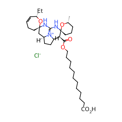 CC[C@H]1C=CCC[C@@]2(C[C@@H]3CC[C@@H]4[C@H](C(=O)OCCCCCCCCCCCC(=O)O)[C@]5(CCC[C@@H](C)O5)NC(=[N+]34)N2)O1.[Cl-]